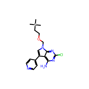 C[Si](C)(C)CCOCn1cc(-c2ccncc2)c2c(N)nc(Cl)nc21